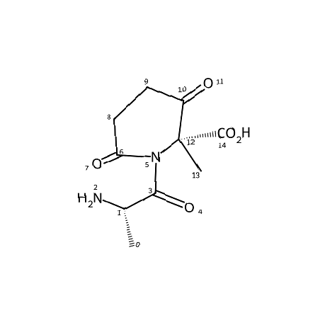 C[C@H](N)C(=O)N1C(=O)CCC(=O)[C@]1(C)C(=O)O